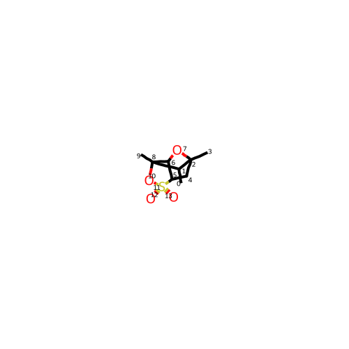 CC1C2(C)CC3C(O2)C1(C)OS3(=O)=O